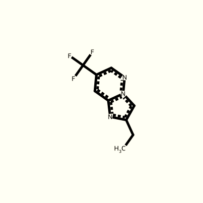 CCc1cn2ncc(C(F)(F)F)cc2n1